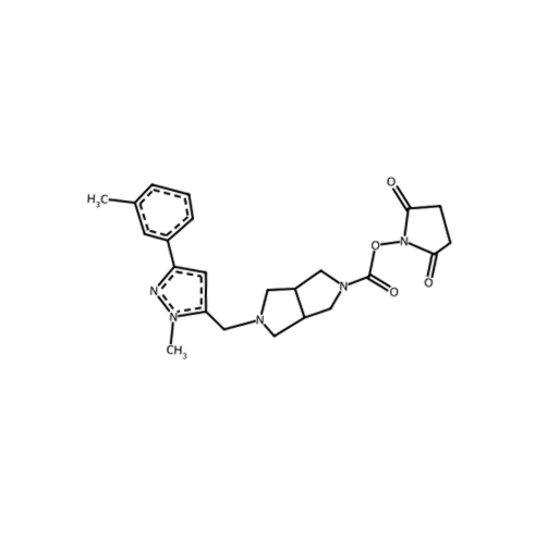 Cc1cccc(-c2cc(CN3CC4CN(C(=O)ON5C(=O)CCC5=O)CC4C3)n(C)n2)c1